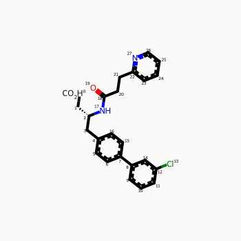 O=C(O)C[C@@H](Cc1ccc(-c2cccc(Cl)c2)cc1)NC(=O)CCc1ccccn1